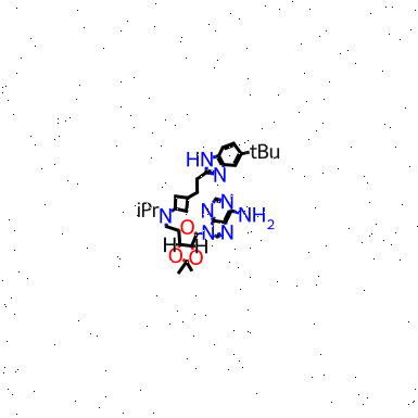 CC(C)N(CC1O[C@@H](n2cnc3c(N)ncnc32)[C@@H]2OC(C)(C)O[C@H]12)C1CC(CCc2nc3cc(C(C)(C)C)ccc3[nH]2)C1